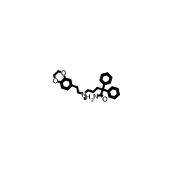 CN(CCCC(C(N)=O)(c1ccccc1)c1ccccc1)CCc1ccc2c(c1)OCCO2